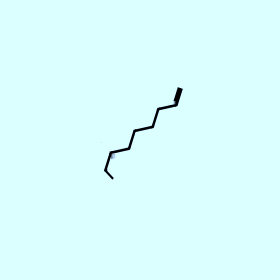 C=CCCCC[C@@H](C)CC(=O)O